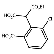 CCOC(=O)C(C(=O)O)c1c(Cl)cccc1C(=O)O